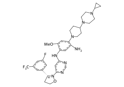 COc1cc(N2CCC(N3CCN(C4CC4)CC3)CC2)c(N)cc1Nc1cc(N2OCC[C@@H]2c2cc(F)cc(C(F)(F)F)c2)ncn1